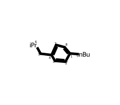 CCCCc1[c]cc(CC(C)C)cc1